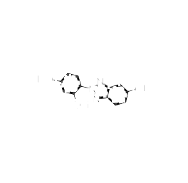 Oc1ccc(-n2nc3ccc(O)cc3n2)c(O)c1